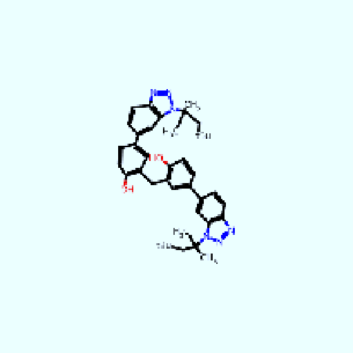 CC(C)(C)CC(C)(C)n1nnc2ccc(-c3ccc(O)c(Cc4cc(-c5ccc6nnn(C(C)(C)CC(C)(C)C)c6c5)ccc4O)c3)cc21